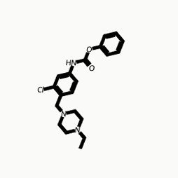 CCN1CCN(Cc2ccc(NC(=O)Oc3ccccc3)cc2Cl)CC1